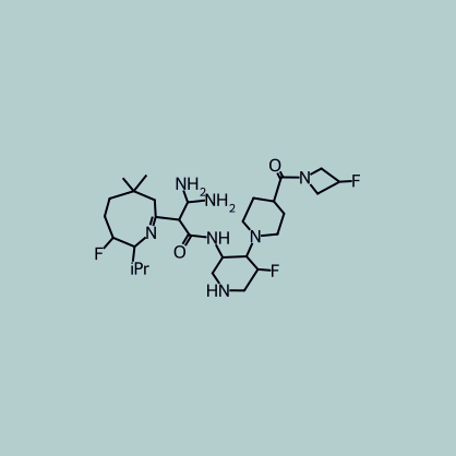 CC(C)C1/N=C(/C(C(=O)NC2CNCC(F)C2N2CCC(C(=O)N3CC(F)C3)CC2)C(N)N)CC(C)(C)CCC1F